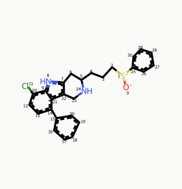 [O-][S+](CCCC1Cc2[nH]c3c(Cl)ccc(-c4ccccc4)c3c2CN1)c1ccccc1